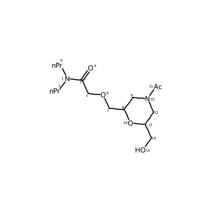 CCCN(CCC)C(=O)COCC1CN(C(C)=O)CC(CO)O1